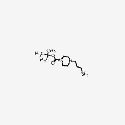 BCCCN1CCN(C(=O)OC(C)(C)C)CC1